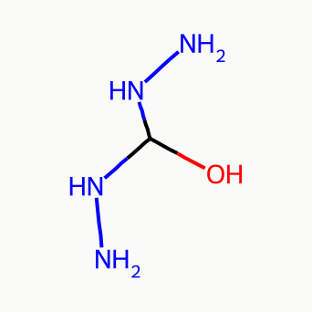 NNC(O)NN